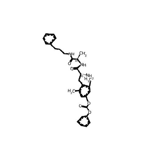 Cc1cc(OC(=O)Oc2ccccc2)cc(C)c1C[C@@H](N)C(=O)N[C@H](C)C(=O)NCCCc1ccccc1